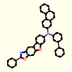 c1ccc(-c2cccc(N(c3ccc4c(ccc5ccccc54)c3)c3ccc4c(c3)oc3cc5oc(-c6ccccc6)nc5cc34)c2)cc1